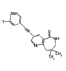 CC1(C)CNC(=O)c2cc(C#Cc3cccc(F)c3)cnc2C1